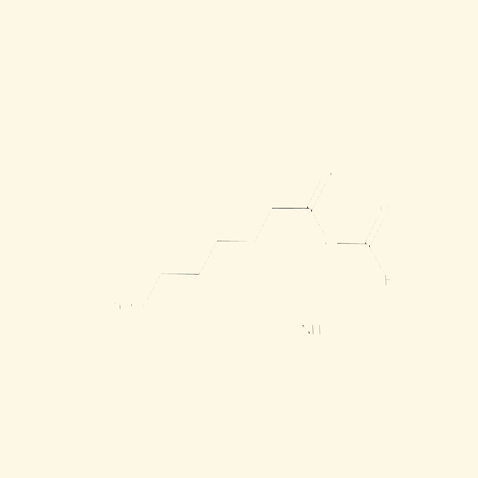 CCCCCCCCCCCCCC(=O)OC(=O)CC.N